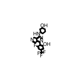 Oc1cc(C(F)(F)F)cc(F)c1-c1nnc(N[C@H]2CCC[C@H](O)C2)c2cnccc12